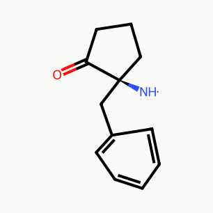 [NH][C@]1(Cc2ccccc2)CCCC1=O